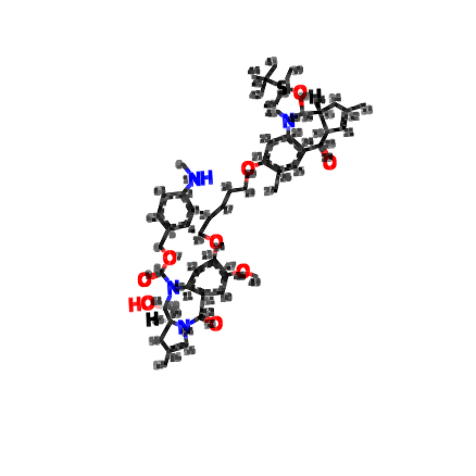 CNc1ccc(COC(=O)N2c3cc(OCCCCCOc4cc5c(cc4C)C(=O)C4C=C(C)C[C@H]4[C@H](O[Si](C)(C)C(C)(C)C)N5C)c(OC)cc3C(=O)N3C=C(C)C[C@H]3[C@@H]2O)cc1